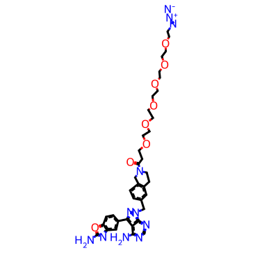 [N-]=[N+]=NCCOCCOCCOCCOCCOCCOCCC(=O)N1CCc2cc(Cn3nc(-c4ccc5oc(N)nc5c4)c4c(N)ncnc43)ccc2C1